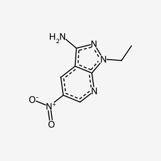 CCn1nc(N)c2cc([N+](=O)[O-])cnc21